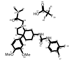 COc1ccc(C23CCC(NC(=O)Nc4ccc(F)c(F)c4)CC2N(CC(=O)N(C)C)CC3)cc1OC.O=C(O)C(F)(F)F